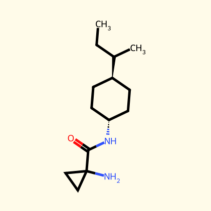 CCC(C)[C@H]1CC[C@H](NC(=O)C2(N)CC2)CC1